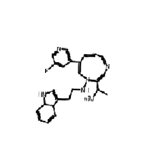 CCCCC(C)c1cncccc(-c2cncc(F)c2)cn1NCCC1=CNC2C=CC=CC12